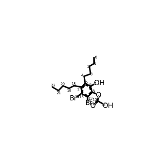 CCCCCc1c(O)c(OC(=O)O)c(Br)c(Br)c1CCCCC